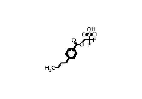 CCCCc1ccc(C(=O)OCC(F)(F)S(=O)(=O)O)cc1